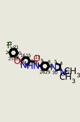 CN(C)C1CCN(c2ccc(NC(=O)c3ccc(Oc4ccc(F)cc4)nc3)cc2)C1